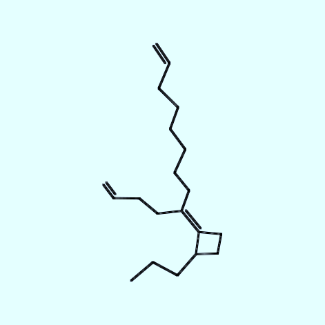 C=CCCCCCCC(CCC=C)=C1CCC1CCC